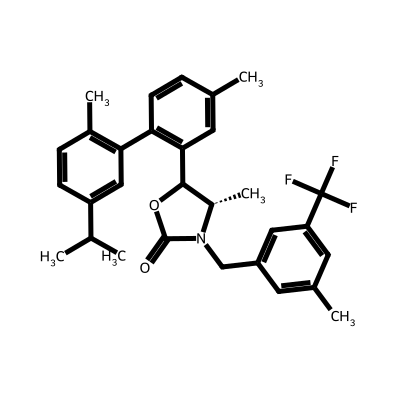 Cc1cc(CN2C(=O)OC(c3cc(C)ccc3-c3cc(C(C)C)ccc3C)[C@@H]2C)cc(C(F)(F)F)c1